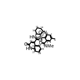 CNC(=O)c1cc(C)cc([N+](=O)[O-])c1N[C@@H]1CCCC[C@@H]1NC(=O)c1cc(=O)[nH]c2ccccc12